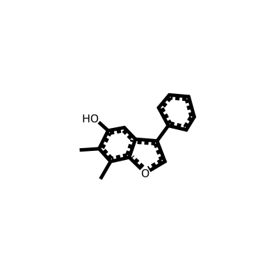 Cc1c(O)cc2c(-c3ccccc3)coc2c1C